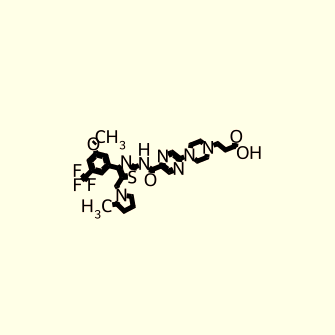 COc1cc(-c2nc(NC(=O)c3cnc(N4CCN(CCC(=O)O)CC4)cn3)sc2CN2CCCC2C)cc(C(F)(F)F)c1